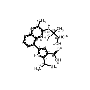 Cc1nc2cccc(-c3cc(C(=O)O)c(C(C)N)[nH]3)c2nc1NC(C)(C)CO.Cl